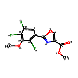 COC(=O)c1coc(-c2cc(F)c(F)c(OC)c2F)n1